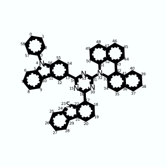 c1ccc(-n2c3ccccc3c3cc(-c4nc(-c5cccc6c5sc5ccccc56)nc(N5c6ccc7ccccc7c6-c6cccc7cccc5c67)n4)ccc32)cc1